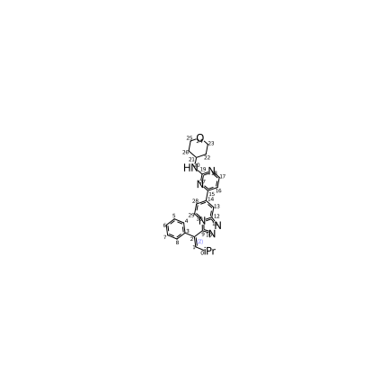 CC(C)/C=C(/c1ccccc1)c1nnc2cc(-c3ccnc(NC4CCOCC4)n3)ccn12